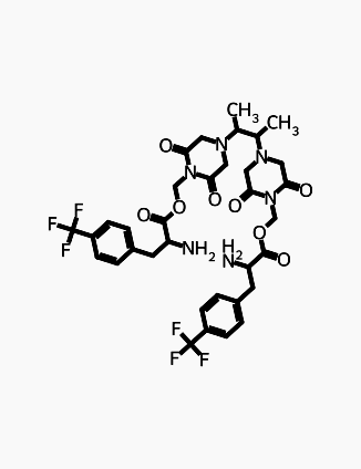 CC(C(C)N1CC(=O)N(COC(=O)C(N)Cc2ccc(C(F)(F)F)cc2)C(=O)C1)N1CC(=O)N(COC(=O)C(N)Cc2ccc(C(F)(F)F)cc2)C(=O)C1